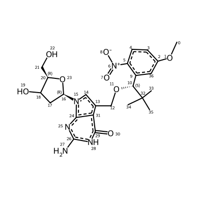 COc1ccc([N+](=O)[O-])c([C@@H](OCc2cn([C@H]3CC(O)[C@@H](CO)O3)c3nc(N)[nH]c(=O)c23)C(C)(C)C)c1